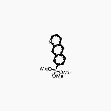 CO[Si](OC)(OC)c1ccc2cc3cccnc3cc2c1